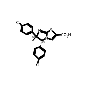 C[C@@]1(c2ccc(Cl)cc2)N=C2SC(C(=O)O)=CN2[C@@H]1c1ccc(Cl)cc1